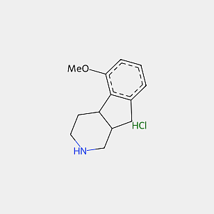 COc1cccc2c1C1CCNCC1C2.Cl